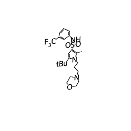 Cc1c(S(=O)(=O)Nc2cccc(C(F)(F)F)c2)cc(C(C)(C)C)n1CCCN1CCOCC1